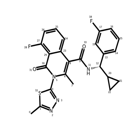 Cc1nnc(-n2c(C)c(C(=O)N[C@H](c3cccc(F)c3)C3CC3)c3cccc(F)c3c2=O)s1